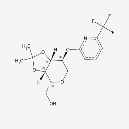 CC1(C)O[C@@H]2[C@H](O1)[C@@H](Oc1cccc(C(F)(F)F)n1)CO[C@@H]2CO